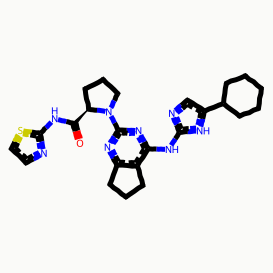 O=C(Nc1nccs1)[C@H]1CCCN1c1nc2c(c(Nc3ncc(C4CCCCC4)[nH]3)n1)CCC2